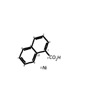 O=C(O)c1cccc2ccccc12.[Ni]